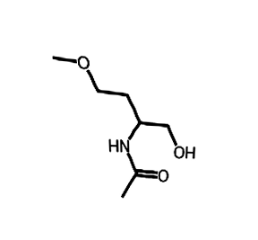 COCCC(CO)NC(C)=O